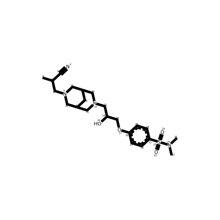 CC(C#N)CN1CC2CC(C1)CN(CC(O)COc1ccc(S(=O)(=O)N(C)C)cc1)C2